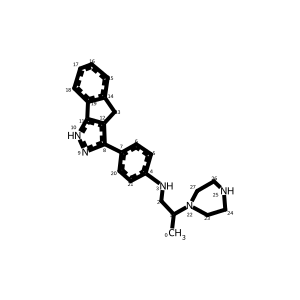 CC(CNc1ccc(-c2n[nH]c3c2Cc2ccccc2-3)cc1)N1CCNCC1